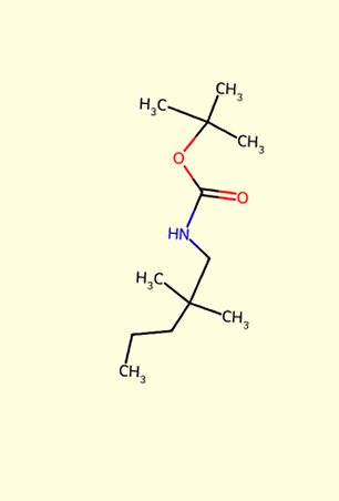 CCCC(C)(C)CNC(=O)OC(C)(C)C